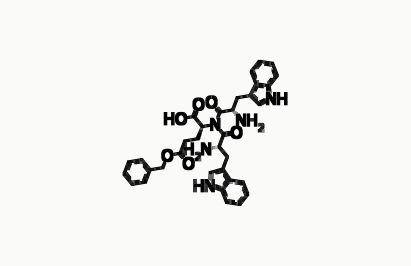 N[C@@H](Cc1c[nH]c2ccccc12)C(=O)N(C(=O)[C@@H](N)Cc1c[nH]c2ccccc12)[C@@H](CCC(=O)OCc1ccccc1)C(=O)O